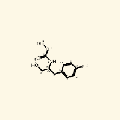 CC(C)(C)OC(=O)N[C@H](CO)Cc1ccc(F)cc1